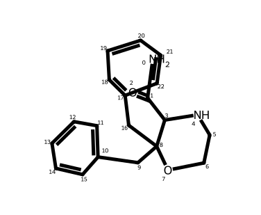 NC(=O)C1NCCOC1(Cc1ccccc1)Cc1ccccc1